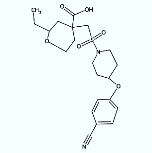 CCC1CC(CS(=O)(=O)N2CCC(Oc3ccc(C#N)cc3)CC2)(C(=O)O)CCO1